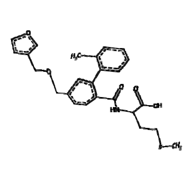 CSCCC(NC(=O)c1ccc(COCc2ccoc2)cc1-c1ccccc1C)C(=O)O